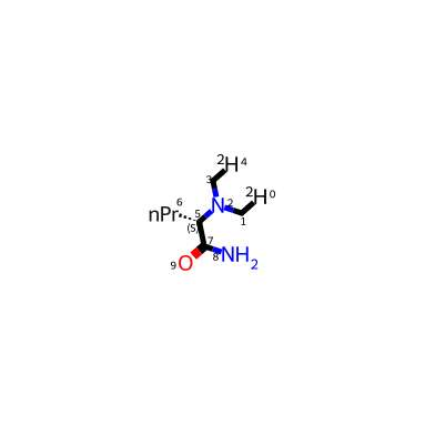 [2H]CN(C[2H])[C@@H](CCC)C(N)=O